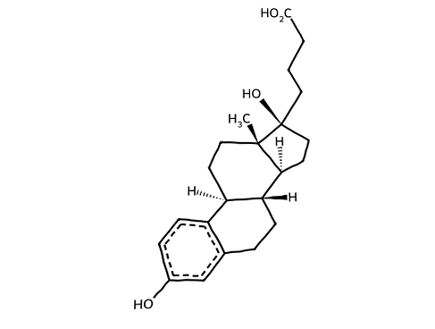 C[C@]12CC[C@@H]3c4ccc(O)cc4CC[C@H]3[C@@H]1CC[C@@]2(O)CCCC(=O)O